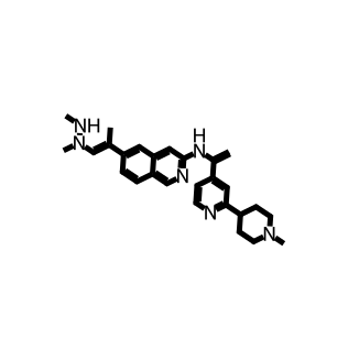 C=C(Nc1cc2cc(/C(C)=C/N(C)NC)ccc2cn1)c1ccnc(C2CCN(C)CC2)c1